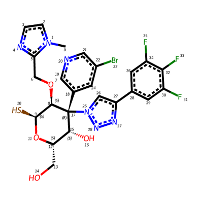 Cn1ccnc1CO[C@@H]1[C@H](S)O[C@@H](CO)[C@@H](O)[C@@]1(c1cncc(Br)c1)n1cc(-c2cc(F)c(F)c(F)c2)nn1